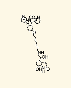 O=C(O)N(C(c1ccccc1)c1cccc(OCCCCCCCNC[C@H](O)c2ccc(O)c3[nH]c(=O)ccc23)c1)[C@H]1CN2CCC1CC2